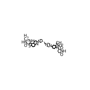 C[C@@H]1CNc2c(sc3ccc4nc(N5CC[C@H](CCN6CCN(c7ccc8c(c7)n(C)c(=O)n8C7CCC(=O)NC7=O)CC6)C5)ccc4c23)C(=O)N1